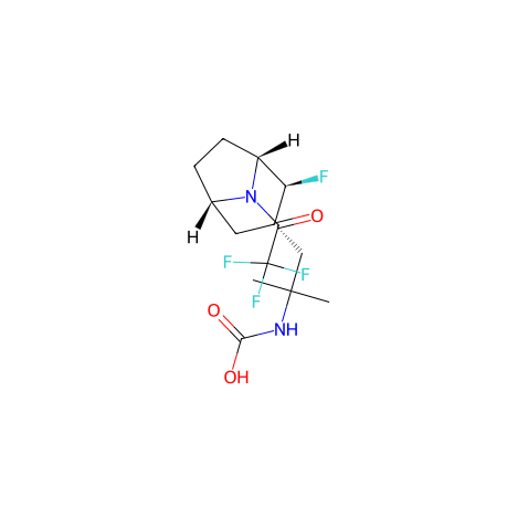 CC(C)(C[C@@H]1C[C@@H]2CC[C@H]([C@H]1F)N2C(=O)C(F)(F)F)NC(=O)O